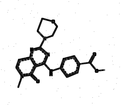 COC(=O)c1ccc(Nc2nc(N3CCOCC3)nc3ccn(C)c(=O)c23)cc1